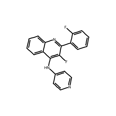 Fc1ccccc1-c1nc2ccccc2c(Nc2ccncc2)c1F